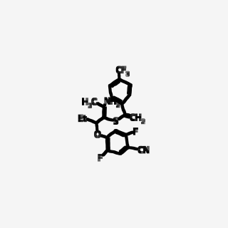 C=C(S/C(=C(/C)N)C(CC)Oc1cc(F)c(C#N)cc1F)c1ccc(C(F)(F)F)cc1